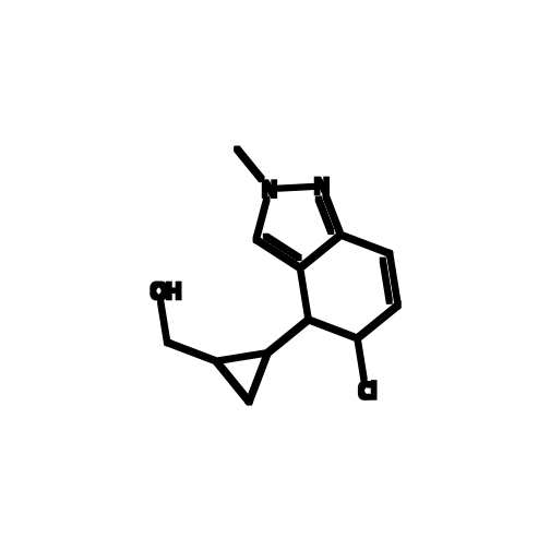 Cn1cc2c(n1)C=CC(Cl)C2C1CC1CO